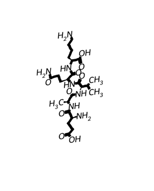 CC(C)[C@H](NC(=O)[C@H](C)NC(=O)[C@@H](N)CCC(=O)O)C(=O)N[C@@H](CCC(N)=O)C(=O)N[C@@H](CCCCN)C(=O)O